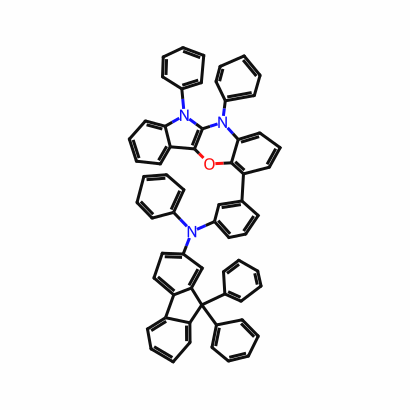 c1ccc(N(c2cccc(-c3cccc4c3Oc3c(n(-c5ccccc5)c5ccccc35)N4c3ccccc3)c2)c2ccc3c(c2)C(c2ccccc2)(c2ccccc2)c2ccccc2-3)cc1